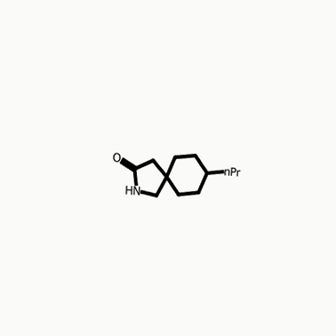 CCCC1CCC2(CC1)CNC(=O)C2